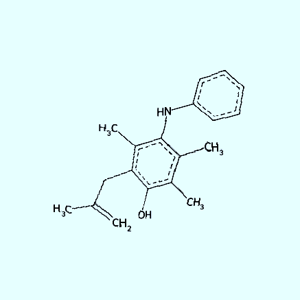 C=C(C)Cc1c(C)c(Nc2ccccc2)c(C)c(C)c1O